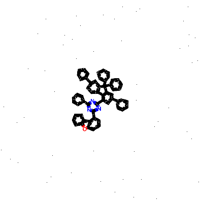 c1ccc(-c2ccc3c(c2)C(c2ccccc2)(c2ccccc2)c2cc(-c4ccccc4)cc(-c4nc(-c5ccccc5)nc(-c5cccc6oc7ccccc7c56)n4)c2-3)cc1